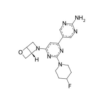 Nc1ncc(-c2cc(N3CC4OC[C@H]43)nc(N3CCC(F)CC3)n2)cn1